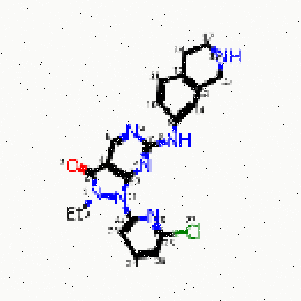 CCn1c(=O)c2cnc(Nc3ccc4c(c3)CNCC4)nc2n1-c1cccc(Cl)n1